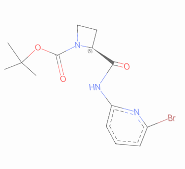 CC(C)(C)OC(=O)N1CC[C@H]1C(=O)Nc1cccc(Br)n1